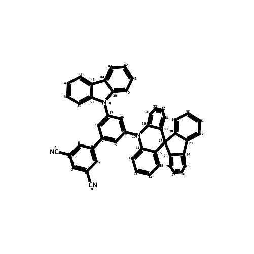 N#Cc1cc(C#N)cc(-c2cc(N3c4ccccc4C4(c5ccccc5-c5ccccc54)c4ccccc43)cc(-n3c4ccccc4c4ccccc43)c2)c1